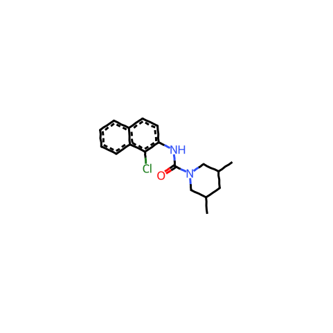 CC1CC(C)CN(C(=O)Nc2ccc3ccccc3c2Cl)C1